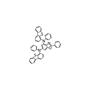 c1ccc(-c2nc3c(N(c4ccccc4)c4cccc5c4sc4ccccc45)cc(N(c4ccccc4)c4cccc5c4sc4ccccc45)cc3o2)cc1